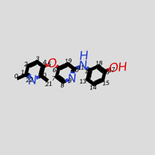 Cc1ccc(Oc2ccnc(Nc3cccc(O)c3)c2)c(C)n1